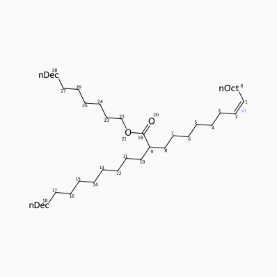 CCCCCCCC/C=C\CCCCCCC(CCCCCCCCCCCCCCCCCC)C(=O)OCCCCCCCCCCCCCCCC